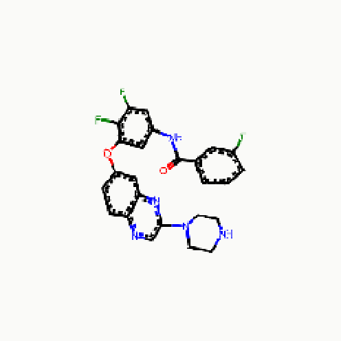 O=C(Nc1cc(F)c(F)c(Oc2ccc3ncc(N4CCNCC4)nc3c2)c1)c1cccc(F)c1